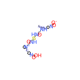 C\C=C/C=C(/C=C/c1ccc(N(C)CC(=O)[O-])cc1)NCCCC(=O)NCCSSCCNC(=O)CCC[n+]1ccccc1/C=C/c1ccc(N(C)CC(=O)O)cc1